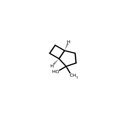 CC1(O)CC[C@@H]2CC[C@@H]21